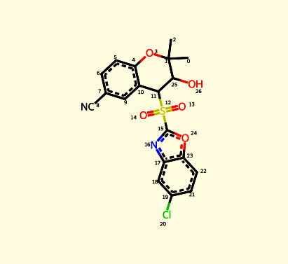 CC1(C)Oc2ccc(C#N)cc2C(S(=O)(=O)c2nc3cc(Cl)ccc3o2)C1O